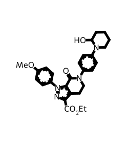 CCOC(=O)c1nn(-c2ccc(OC)cc2)c2c1CCN(c1ccc(N3CCCCC3O)cc1)C2=O